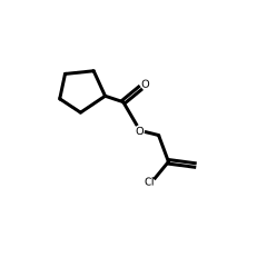 C=C(Cl)COC(=O)C1CCCC1